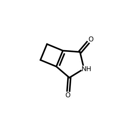 O=C1NC(=O)C2=C1CC2